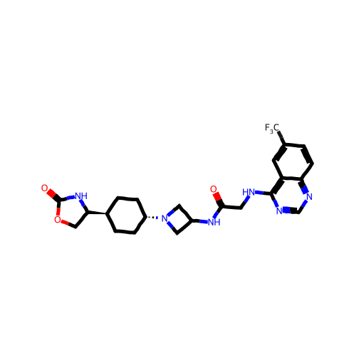 O=C(CNc1ncnc2ccc(C(F)(F)F)cc12)NC1CN([C@H]2CC[C@H](C3COC(=O)N3)CC2)C1